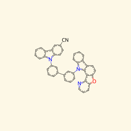 N#Cc1ccc2c(c1)c1ccccc1n2-c1cccc(-c2cccc(-n3c4ccccc4c4ccc5oc6cccnc6c5c43)c2)c1